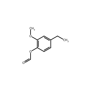 CCc1ccc(OC=O)c(OC)c1